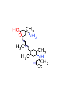 C=C(/C=C\CC)NC1CC(C)C(C/C=C(C)/C=C/C2CC(C)(CN)CC(O)O2)CC1C